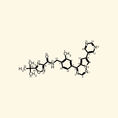 Cc1cc(-c2ncnn3cc(-c4cncnc4)cc23)ccc1CNC(=O)c1noc(C(C)(C)C)n1